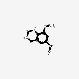 COc1cc(N=O)cc2c1OCOC2